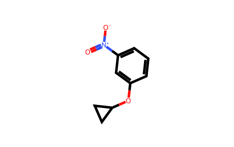 O=[N+]([O-])c1cccc(OC2CC2)c1